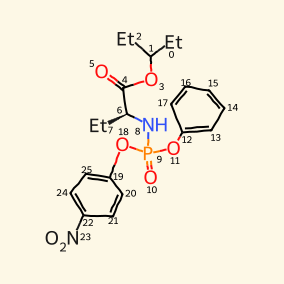 CCC(CC)OC(=O)[C@H](CC)NP(=O)(Oc1ccccc1)Oc1ccc([N+](=O)[O-])cc1